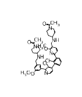 COc1cc(CNC2CCN(C(C)=O)CC2)cc(-c2nccc(-c3cccc(-c4ccc(CNC5CCN(C(C)=O)CC5)c(OC)n4)c3Cl)c2Cl)c1